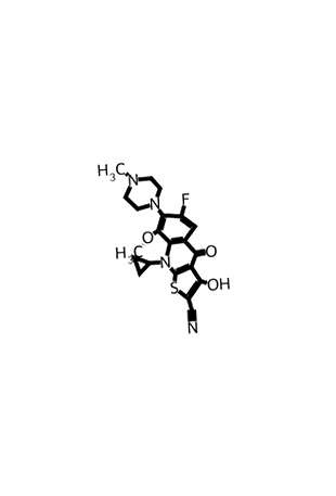 COc1c(N2CCN(C)CC2)c(F)cc2c(=O)c3c(O)c(C#N)sc3n(C3CC3)c12